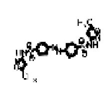 Cc1cc(NS(=O)(=O)c2ccc(N=Nc3ccc(S(=O)(=O)Nc4cc(C)on4)cc3)cc2)no1